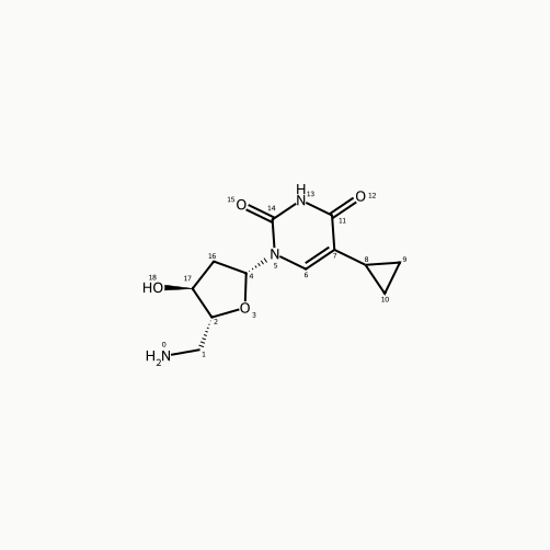 NC[C@H]1O[C@@H](n2cc(C3CC3)c(=O)[nH]c2=O)C[C@@H]1O